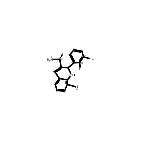 C[C@H](N)C1=Cc2cccc(Cl)c2NC1c1cccc(F)c1F